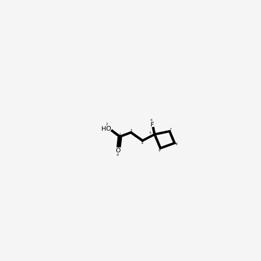 O=C(O)CCC1(F)CCC1